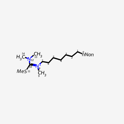 CCCCCCCCCCCCCCCC/[N+](C)=C(/SC)N(C)C